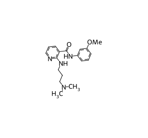 COc1cccc(NC(=O)c2cccnc2NCCCN(C)C)c1